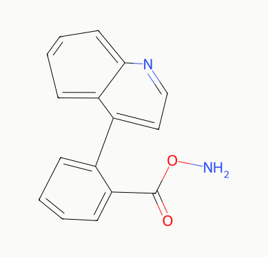 NOC(=O)c1ccccc1-c1ccnc2ccccc12